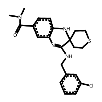 CN(C)C(=O)c1ccc2c(c1)N=C(NCc1cccc(Cl)c1)C1(CCSCC1)N2